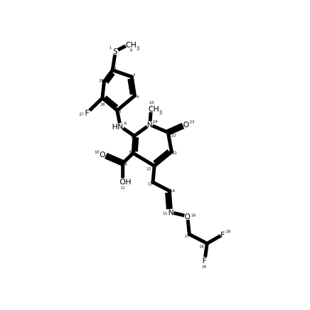 CSc1ccc(Nc2c(C(=O)O)c(CC=NOCC(F)F)cc(=O)n2C)c(F)c1